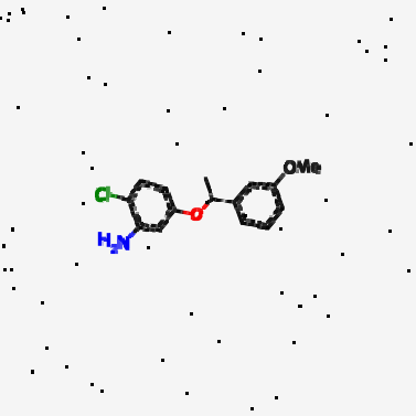 COc1cccc(C(C)Oc2ccc(Cl)c(N)c2)c1